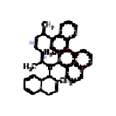 C=C(/C=C\C=C(/C)B(c1c(C)ccc2ccccc12)C1C(C)=CCC2C=CC=CC21)c1ccc(-c2ccccc2)c2ccccc12